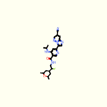 CC(C)Nc1cc(-c2cnc3cc(C#N)cnn23)ncc1C(=O)NCC(F)C1CC(C)OC(C)C1